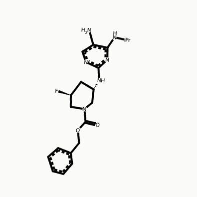 CC(C)Nc1nc(N[C@H]2C[C@H](F)CN(C(=O)OCc3ccccc3)C2)ncc1N